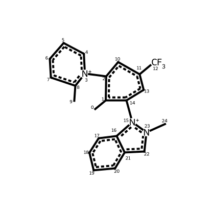 Cc1c(-[n+]2ccccc2C)cc(C(F)(F)F)cc1-[n+]1c2ccccc2cn1C